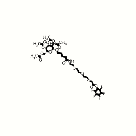 CC(=O)N[C@H]1[C@H](OCCCCC(=O)NCCOCCOCCOCC(=O)Oc2c(F)c(F)c(F)c(F)c2F)O[C@H](COC(C)=O)[C@H](OC(C)=O)[C@@H]1OC(C)=O